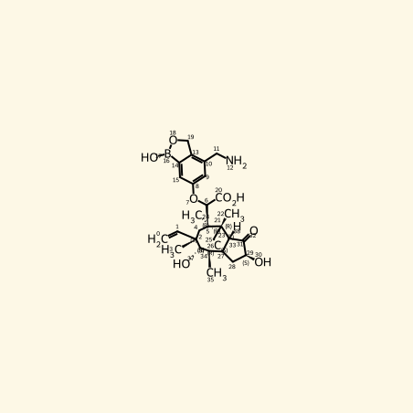 C=C[C@]1(C)C[C@@H](C(Oc2cc(CN)c3c(c2)B(O)OC3)C(=O)O)[C@@]2(C)[C@H](C)CC[C@]3(C[C@H](O)C(=O)[C@H]32)[C@@H](C)[C@@H]1O